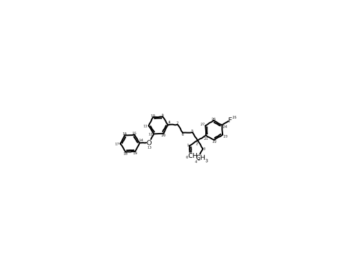 C=CC(CC)(CCCc1cccc(Oc2ccccc2)c1)c1ccc(F)cc1